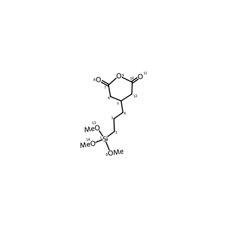 CO[Si](CCCC1CC(=O)OC(=O)C1)(OC)OC